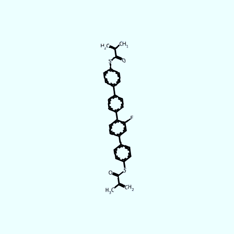 C=C(C)C(=O)Sc1ccc(-c2ccc(-c3ccc(-c4ccc(SC(=O)C(=C)C)cc4)cc3F)cc2)cc1